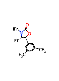 CC[C@H]1[C@@H](c2cc(C(F)(F)F)cc(C(F)(F)F)c2)OC(=O)N1C(C)C